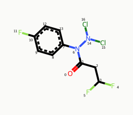 O=C(CC(F)F)N(c1ccc(F)cc1)N(Cl)Cl